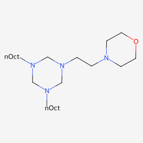 CCCCCCCCN1CN(CCCCCCCC)CN(CCN2CCOCC2)C1